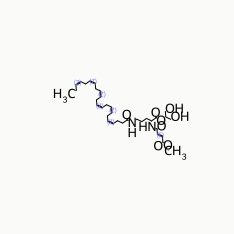 CC/C=C\C/C=C\C/C=C\C/C=C\C/C=C\C/C=C\CCC(=O)NCCCC(NC(=O)/C=C/C(=O)OC)C(=O)OC(CO)CO